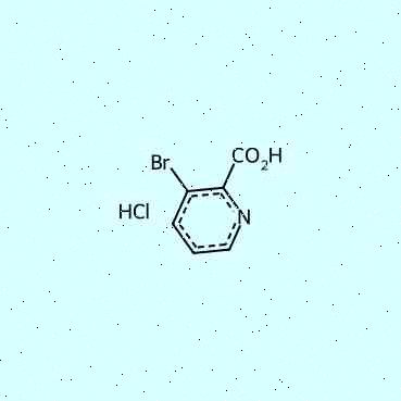 Cl.O=C(O)c1ncccc1Br